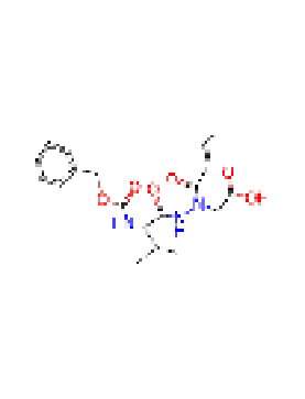 C/C=C/C(=O)N(CC(=O)O)NC(=O)[C@@H](NC(=O)OCc1ccccc1)C(C)C